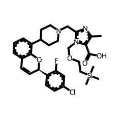 Cc1nc(CN2CCC(c3cccc4c3O[C@@H](c3ccc(Cl)cc3F)C=C4)CC2)n(COCC[Si](C)(C)C)c1C(=O)O